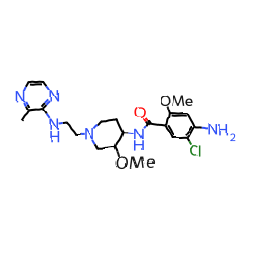 COc1cc(N)c(Cl)cc1C(=O)NC1CCN(CCNc2nccnc2C)CC1OC